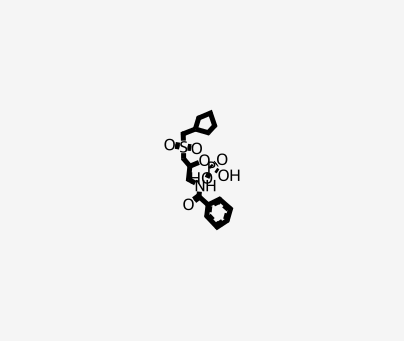 O=C(NCC(CS(=O)(=O)CC1CCCC1)OP(=O)(O)O)c1ccccc1